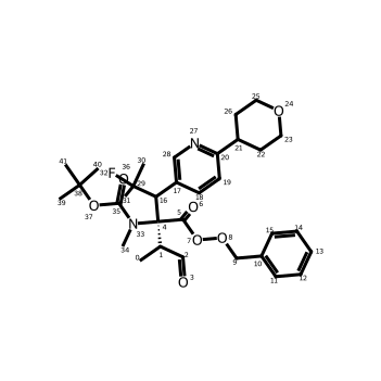 CC(C=O)[C@@](C(=O)OOCc1ccccc1)(C(c1ccc(C2CCOCC2)nc1)C(C)(C)F)N(C)C(=O)OC(C)(C)C